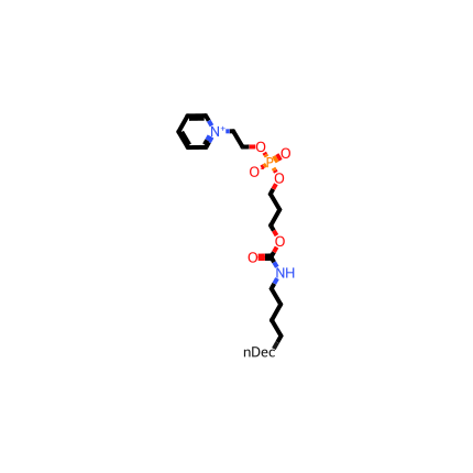 CCCCCCCCCCCCCCNC(=O)OCCCOP(=O)([O-])OCC[n+]1ccccc1